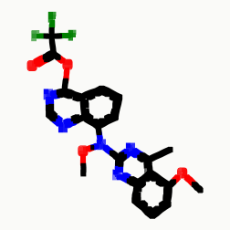 COc1cccc2nc(N(OC)c3cccc4c(OC(=O)C(F)(F)F)ncnc34)nc(C)c12